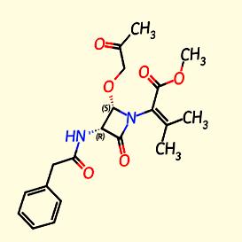 COC(=O)C(=C(C)C)N1C(=O)[C@H](NC(=O)Cc2ccccc2)[C@@H]1OCC(C)=O